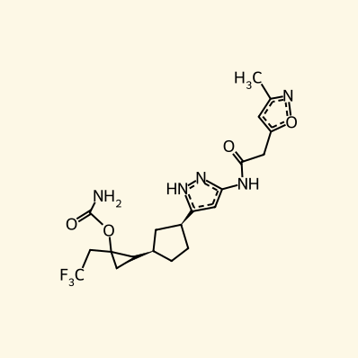 Cc1cc(CC(=O)Nc2cc([C@H]3CC[C@@H](C4CC4(CC(F)(F)F)OC(N)=O)C3)[nH]n2)on1